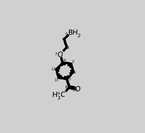 BCCOc1ccc(C(C)=O)cc1